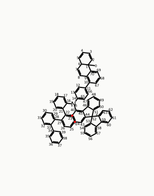 CC12C=CC=CC1C=Cc1c(-c3ccc(N(c4ccccc4-c4ccccc4-c4ccccc4-c4ccccc4)c4cccc5c4-c4ccccc4C54c5ccccc5-c5ccccc54)cc3)cccc12